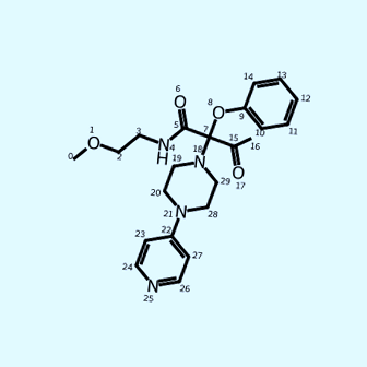 COCCNC(=O)C(Oc1ccccc1)(C(C)=O)N1CCN(c2ccncc2)CC1